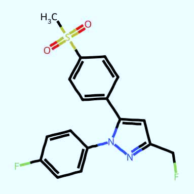 CS(=O)(=O)c1ccc(-c2cc(CF)nn2-c2ccc(F)cc2)cc1